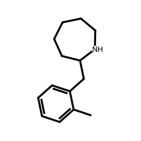 Cc1ccccc1CC1CCCCCN1